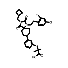 CC(C)(Oc1cccc(C2CCC3(CC2)C(=O)N(CC2CCC2)C(=O)N3CCc2ccc(Cl)cc2Cl)c1)C(=O)O